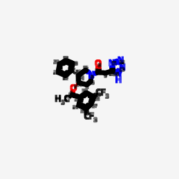 C[C@@H](O[C@H]1CCN(C(=O)Cc2nnn[nH]2)C[C@H]1c1ccccc1)c1cc(C(F)(F)F)cc(C(F)(F)F)c1